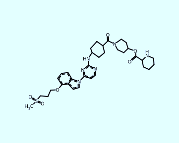 CS(=O)(=O)CCCOc1cccc2c1ccn2-c1ccnc(NC2CCC(C(=O)N3CCC(OC(=O)C4CCCCN4)CC3)CC2)n1